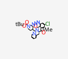 COC(=O)[C@@H](Cc1ccccn1)N(CC1CCN(C(=O)OC(C)(C)C)CC1)C(=O)c1ccc(Cl)cc1N=[N+]=[N-]